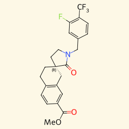 COC(=O)c1ccc2c(c1)C[C@]1(CC2)CCN(Cc2ccc(C(F)(F)F)c(F)c2)C1=O